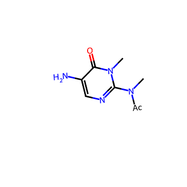 CC(=O)N(C)c1ncc(N)c(=O)n1C